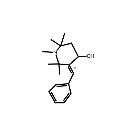 CN1C(C)(C)CC(O)/C(=C/c2ccccc2)C1(C)C